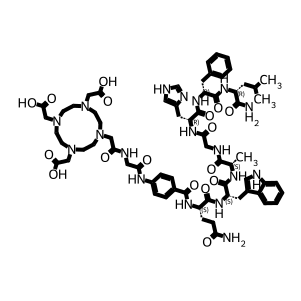 CC(C)C[C@@H](NC(=O)[C@@H](Cc1ccccc1)NC(=O)[C@@H](Cc1c[nH]cn1)NC(=O)CNC(=O)[C@H](C)NC(=O)[C@H](Cc1c[nH]c2ccccc12)NC(=O)[C@H](CCC(N)=O)NC(=O)c1ccc(NC(=O)CNC(=O)CN2CCN(CC(=O)O)CCN(CC(=O)O)CCN(CC(=O)O)CC2)cc1)C(N)=O